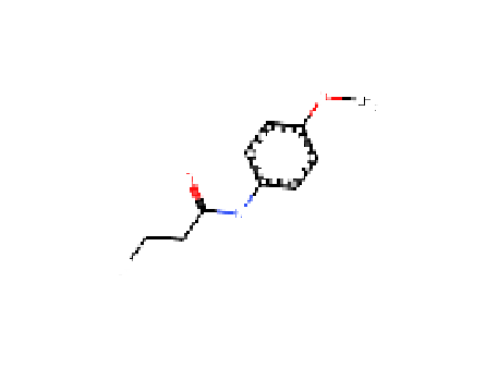 C[C]CC(=O)Nc1ccc(OC)cc1